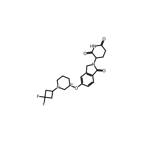 O=C1CCC(N2Cc3cc(O[C@@H]4CCCN(C5CC(F)(F)C5)C4)ccc3C2=O)C(=O)N1